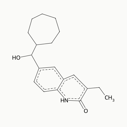 CCc1cc2cc(C(O)C3CCCCCC3)ccc2[nH]c1=O